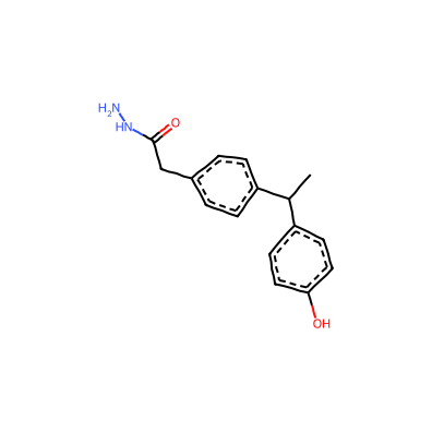 CC(c1ccc(O)cc1)c1ccc(CC(=O)NN)cc1